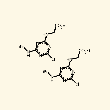 CCOC(=O)CNc1nc(Cl)nc(NC(C)C)n1.CCOC(=O)CNc1nc(Cl)nc(NC(C)C)n1